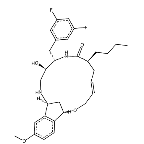 CCCC[C@H]1C/C=C/CO[C@@H]2C[C@H](NC[C@@H](O)[C@H](Cc3cc(F)cc(F)c3)NC1=O)c1cc(OC)ccc12